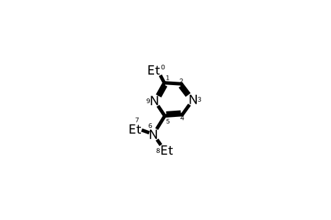 CCc1cncc(N(CC)CC)n1